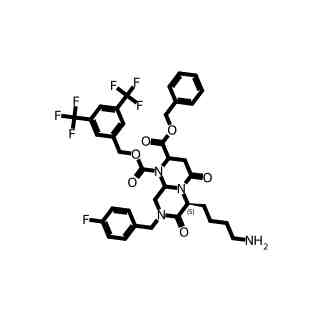 NCCCC[C@H]1C(=O)N(Cc2ccc(F)cc2)CC2N(C(=O)OCc3cc(C(F)(F)F)cc(C(F)(F)F)c3)C(C(=O)OCc3ccccc3)CC(=O)N21